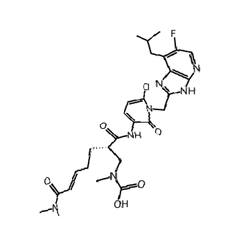 CC(C)Cc1c(F)cnc2[nH]c(Cn3c(Cl)ccc(NC(=O)[C@@H](CC/C=C/C(=O)N(C)C)CN(C)C(=O)O)c3=O)nc12